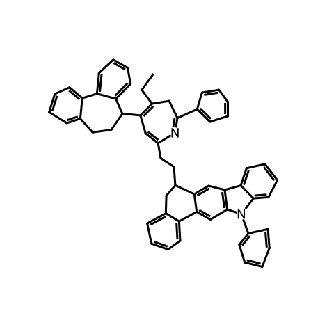 CCC1=C(C2CCc3ccccc3-c3ccccc32)C=C(CCC2Cc3ccccc3-c3cc4c(cc32)c2ccccc2n4-c2ccccc2)N=C(c2ccccc2)C1